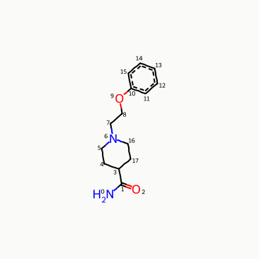 NC(=O)C1CCN(CCOc2ccccc2)CC1